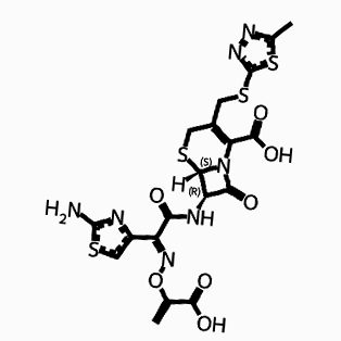 C=C(ON=C(C(=O)N[C@@H]1C(=O)N2C(C(=O)O)=C(CSc3nnc(C)s3)CS[C@@H]12)c1csc(N)n1)C(=O)O